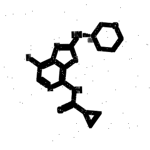 O=C(Nc1ncc(F)c2nc(N[C@H]3CCCOC3)sc12)C1CC1